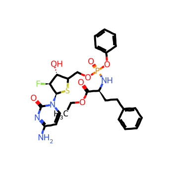 CCOC(=O)[C@H](CCc1ccccc1)NP(=O)(OCC1S[C@@H](n2ccc(N)nc2=O)[C@@H](F)[C@@H]1O)Oc1ccccc1